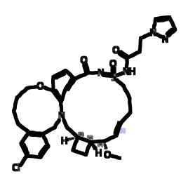 CO[C@H]1/C=C/CCCS(=O)(NC(=O)CCn2cccn2)=NC(=O)c2ccc3c(c2)N(Cc2ccc(Cl)cc2CCCCO3)C[C@@H]2CC[C@H]21